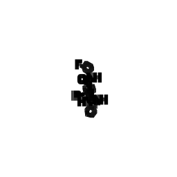 CC(C)C1CN(C(=O)Nc2cccc(F)c2)CCN1C(=N)Nc1ccccc1F